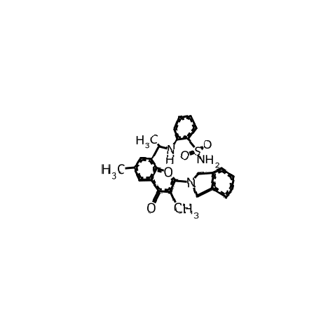 Cc1cc(C(C)Nc2ccccc2S(N)(=O)=O)c2oc(N3Cc4ccccc4C3)c(C)c(=O)c2c1